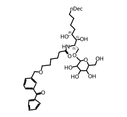 CCCCCCCCCCCCCC[C@@H](O)[C@@H](O)[C@H](COC1OC(CO)C(O)C(O)C1O)NC(=O)CCCCCOCc1cccc(C(=O)c2ccccc2)c1